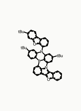 CC(C)(C)c1ccc2c(c1)N(c1cccc3c1oc1cc(C(C)(C)C)ccc13)c1cc(C(C)(C)C)cc3c1B2c1cccc2c4oc5ccccc5c4n-3c12